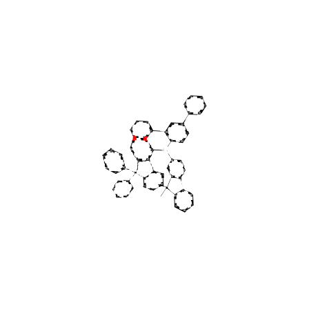 CC1(C)c2ccccc2-c2ccc(N(c3ccc(-c4ccccc4)cc3-c3ccccc3)c3cccc4c3-c3ccccc3C4(c3ccccc3)c3ccccc3)cc21